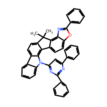 CC1(C)c2ccc3c4ccccc4n(-c4cc(-c5ccccc5)nc(-c5ccccc5)n4)c3c2-c2ccc3oc(-c4ccccc4)nc3c21